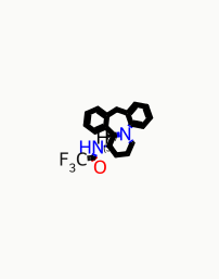 O=C(N[C@H]1CCCN2c3ccccc3Cc3ccccc3[C@@H]12)C(F)(F)F